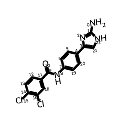 Nc1nc(-c2ccc(NC(=O)c3ccc(Cl)c(Cl)c3)cc2)c[nH]1